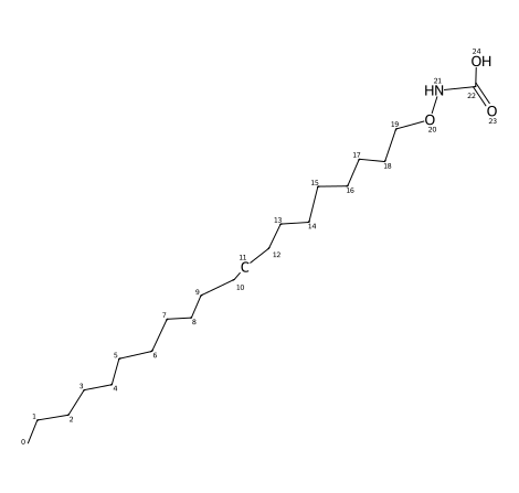 CCCCCCCCCCCCCCCCCCCCONC(=O)O